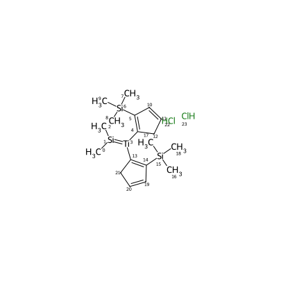 C[Si](C)=[Ti]([C]1=C([Si](C)(C)C)C=CC1)[C]1=C([Si](C)(C)C)C=CC1.Cl.Cl